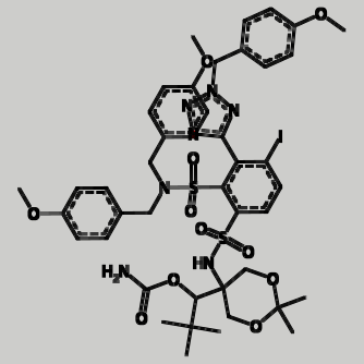 COc1ccc(CN(Cc2ccc(OC)cc2)S(=O)(=O)c2c(S(=O)(=O)NC3(C(OC(N)=O)C(C)(C)C)COC(C)(C)OC3)ccc(I)c2-c2nnn(Cc3ccc(OC)cc3)n2)cc1